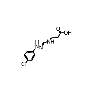 O=C(O)CCNC=NNc1ccc(Cl)cc1